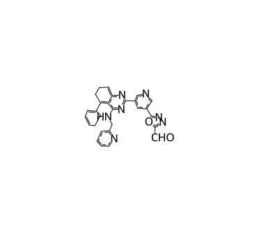 O=Cc1nnc(-c2cncc(-c3nc(NCc4ccccn4)c4c(n3)=CCCC=4C3=CC=CCC3)c2)o1